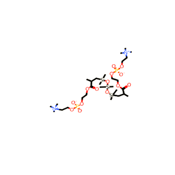 CC(C[Si](C)(C)O[Si](C)(C)O[Si](C)(C)CC(C)C(=O)OCCOP(=O)([O-])OCC[N+](C)(C)C)C(=O)OCCOP(=O)([O-])OCC[N+](C)(C)C